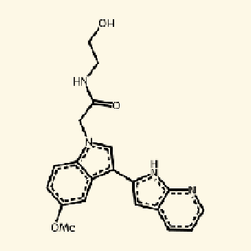 COc1ccc2c(c1)c(-c1cc3cccnc3[nH]1)cn2CC(=O)NCCO